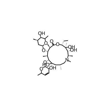 CC[C@H]1OC(=O)[C@H](C)[C@@H](O[C@H]2C[C@@H](C)[C@@H](O)C(C)O2)[C@H](C)[C@@H](O[C@@H]2OC(C)C=C[C@@H]2O)[C@](C)(O)C[C@@H](C)CN(C)[C@H](C)[C@@H](O)[C@]1(C)O